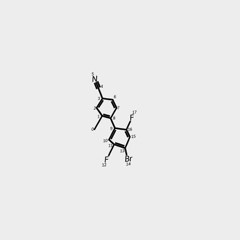 Cc1cc(C#N)ccc1-c1cc(F)c(Br)cc1F